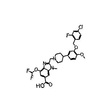 COc1ccc(C2CCN(Cc3nc4c(OC(F)F)cc(C(=O)O)cc4n3C)CC2)cc1OCc1ccc(Cl)cc1F